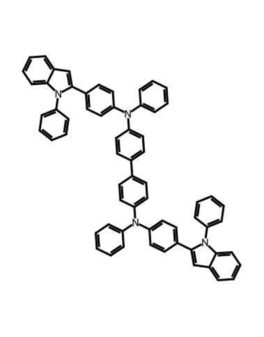 c1ccc(N(c2ccc(-c3ccc(N(c4ccccc4)c4ccc(-c5cc6ccccc6n5-c5ccccc5)cc4)cc3)cc2)c2ccc(-c3cc4ccccc4n3-c3ccccc3)cc2)cc1